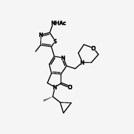 CC(=O)Nc1nc(C)c(-c2cc3c(c(CN4CCOCC4)n2)C(=O)N([C@@H](C)C2CC2)C3)s1